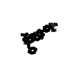 C=C(C)[C@@H]1CC[C@]2(NCCN3CCCCC3)CC[C@]3(C)[C@H](CC[C@@H]4[C@@]5(C)CC=C(C6=CC[C@](CO)(C(=O)OCC)CC6)C(C)(C)[C@@H]5CC[C@]43C)[C@@H]12